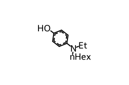 CCCCCCN(CC)c1ccc(O)cc1